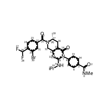 CNC(=O)c1ccc(-n2c(NC(C)C)nc3c(c2=O)C[C@@H](C)N(C(=O)c2ccc(C(F)F)c(Br)c2)C3)cc1